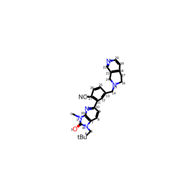 Cn1c(=O)n(CC(C)(C)C)c2ccc(-c3cc(CN4CCc5ccncc5C4)ccc3C#N)nc21